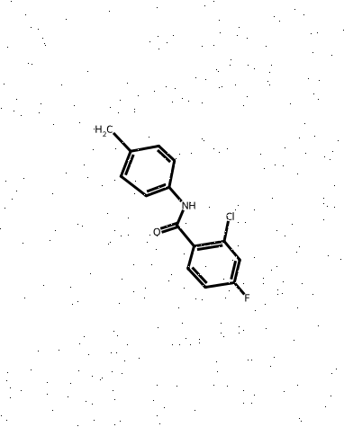 [CH2]c1ccc(NC(=O)c2ccc(F)cc2Cl)cc1